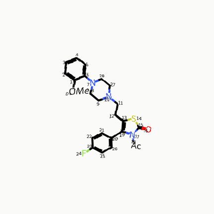 COc1ccccc1N1CCN(CCc2sc(=O)n(C(C)=O)c2-c2ccc(F)cc2)CC1